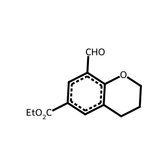 CCOC(=O)c1cc(C=O)c2c(c1)CCCO2